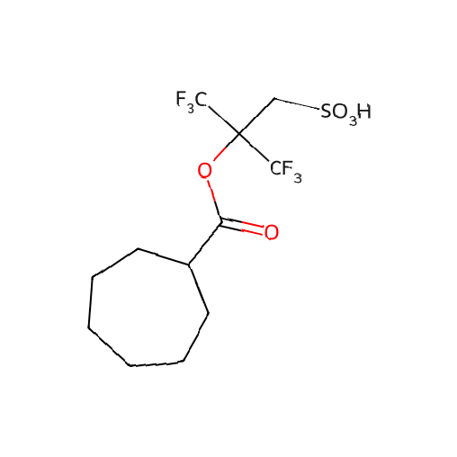 O=C(OC(CS(=O)(=O)O)(C(F)(F)F)C(F)(F)F)C1CCCCCC1